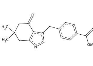 COC(=O)c1ccc(Cn2cnc3c2C(=O)CC(C)(C)C3)cc1